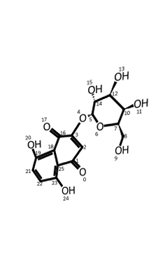 O=C1C=C(O[C@H]2O[C@H](CO)[C@H](O)[C@H](O)[C@H]2O)C(=O)c2c(O)ccc(O)c21